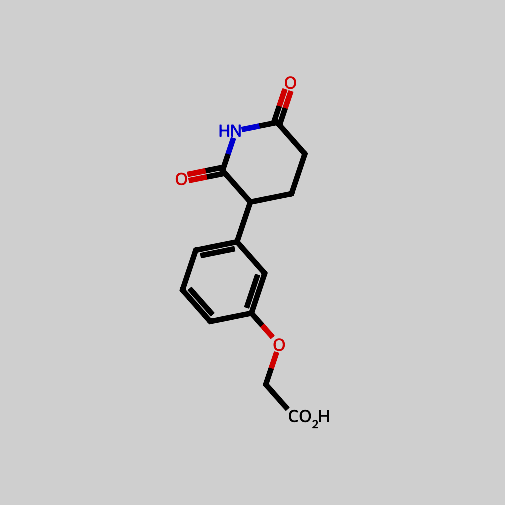 O=C(O)COc1cccc(C2CCC(=O)NC2=O)c1